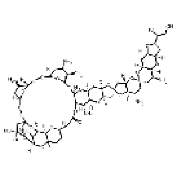 C=C1C[C@@H]2CC[C@]34CC(O)(O)C(O3)[C@@H]3O[C@H]5CC[C@H](CC(=O)O[C@@H]6[C@@H](N)[C@@H]7O[C@@H]8C[C@@]9(C[C@@H]%10O[C@]%11(C[C@H](N)[C@@H]%12O[C@@H]%13C[C@@H]([C@@H](O)CO)O[C@@H]%13C[C@@H]%12O%11)C[C@H](N)[C@@H]%10O9)O[C@@H]8C[C@@H]7O[C@H]6C[C@H]6O[C@@H](CC[C@@H]1O2)C[C@@H](N)C6=C)O[C@@H]5[C@H](O4)[C@@H]3C